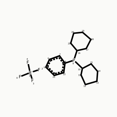 F[B-](F)(F)F.[c]1ccc(P(C2CCCCC2)C2CCCCC2)cc1